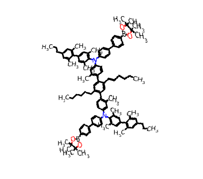 CCCCCCc1cc(-c2ccc(N(c3ccc(-c4ccc(B5OC(C)(C)C(C)(C)O5)cc4)cc3)c3c(C)cc(-c4c(C)cc(CCC)cc4C)cc3C)cc2C)c(CCCCCC)cc1-c1ccc(N(c2ccc(-c3ccc(B4OC(C)(C)C(C)(C)O4)cc3)cc2)c2c(C)cc(-c3c(C)cc(CCC)cc3C)cc2C)cc1C